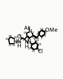 COc1ccc(/C=C2\CN(C(C)=O)CC3=C2N(c2ccc(Cl)cc2Cl)NC3C(=O)NN2CCCCC2)cc1